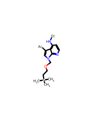 CCNc1ccnc2c1c(C(C)=O)cn2COCC[Si](C)(C)C